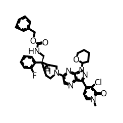 Cn1ccc(-c2nn(C3CCCCO3)c3nc(N4CC[C@@H]5[C@H](C4)[C@@]5(CNC(=O)OCc4ccccc4)c4ccccc4F)cnc23)c(Cl)c1=O